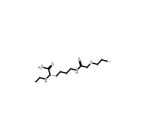 CCN[C@@H](CCCCNC(=O)COCCI)C(=O)P